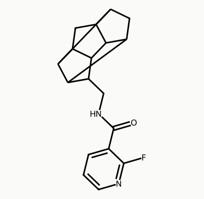 O=C(NCC1C2C3CC4C5CC(C42)C1C53)c1cccnc1F